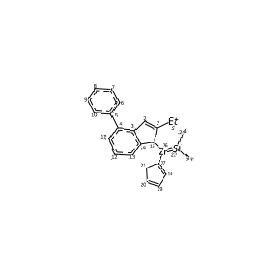 CCC1=Cc2c(-c3ccccc3)cccc2[CH]1[Zr]([C]1=CC=CC1)=[Si](C)C